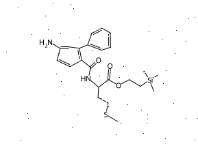 CSCCC(NC(=O)c1ccc(N)cc1-c1ccccc1)C(=O)OCC[Si](C)(C)C